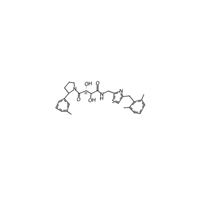 Cc1cccc(C2CCCN2C(=O)[C@H](O)C(O)C(=O)NCc2nc(Cc3c(C)cccc3C)cs2)c1